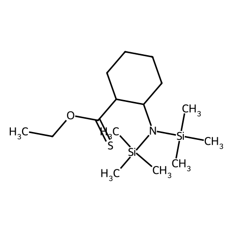 CCOC(=S)C1CCCCC1N([Si](C)(C)C)[Si](C)(C)C